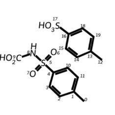 Cc1ccc(S(=O)(=O)NC(=O)O)cc1.Cc1ccc(S(=O)(=O)O)cc1